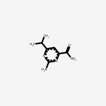 CC(C)c1cc(C(N)=O)nc(N)n1